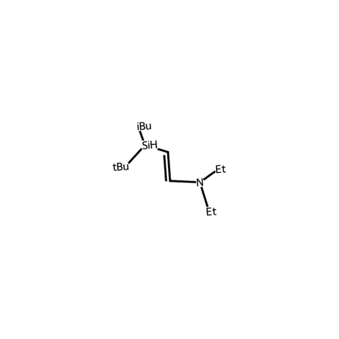 CCC(C)[SiH](C=CN(CC)CC)C(C)(C)C